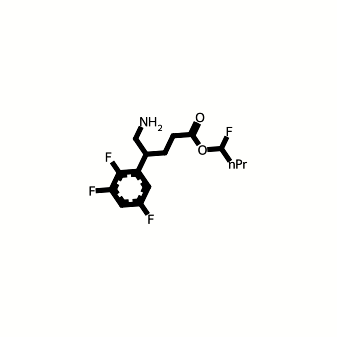 CCCC(F)OC(=O)CCC(CN)c1cc(F)cc(F)c1F